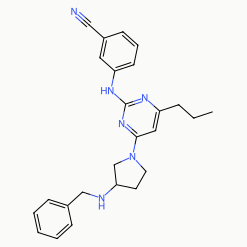 CCCc1cc(N2CCC(NCc3ccccc3)C2)nc(Nc2cccc(C#N)c2)n1